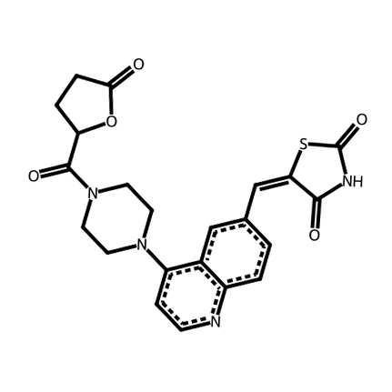 O=C1CCC(C(=O)N2CCN(c3ccnc4ccc(/C=C5/SC(=O)NC5=O)cc34)CC2)O1